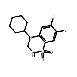 O=S1(=O)NCN(C2CCCCC2)c2cc(Cl)c(Cl)cc21